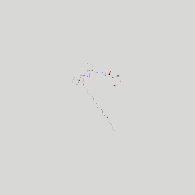 CCCCCCCCCCCCCCCC1(C(=O)NC2CCCC2C(CNC(=O)C2OC(C)(C)OCC2(C)C)C(=O)O)CCC1